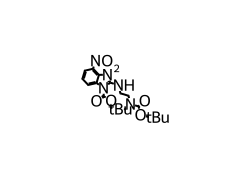 CN(CCNc1nc2c([N+](=O)[O-])cccc2n1C(=O)OC(C)(C)C)C(=O)OC(C)(C)C